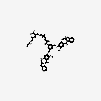 CCNOCC(=O)NC(CSSC(C)(C)CCC(=O)Nc1cc(COc2cc3c(cc2OC)C(=O)N2c4ccccc4C[C@H]2C=N3)cc(COc2cc3c(cc2OC)C(=O)N2c4ccccc4C[C@H]2CN3)c1)C(=O)O